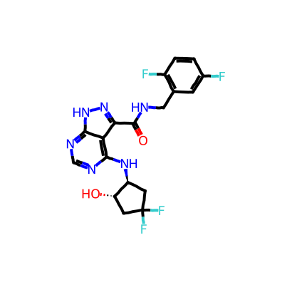 O=C(NCc1cc(F)ccc1F)c1n[nH]c2ncnc(N[C@H]3CC(F)(F)C[C@@H]3O)c12